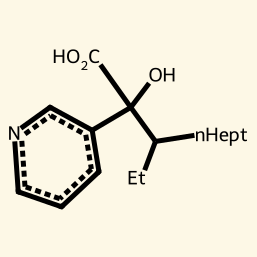 CCCCCCCC(CC)C(O)(C(=O)O)c1cccnc1